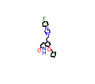 O=c1ccc2c(CCN3CCN(c4ccc(F)cc4)CC3)ccc(OCc3ccccc3)c2[nH]1